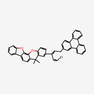 CC/C=C\C(=C/Cc1ccc2c3ccccc3c3ccccc3c2c1)c1ccc2c(c1)C(C)(C)c1ccc3c(oc4ccccc43)c1O2